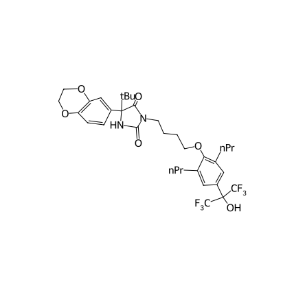 CCCc1cc(C(O)(C(F)(F)F)C(F)(F)F)cc(CCC)c1OCCCCN1C(=O)NC(c2ccc3c(c2)OCCO3)(C(C)(C)C)C1=O